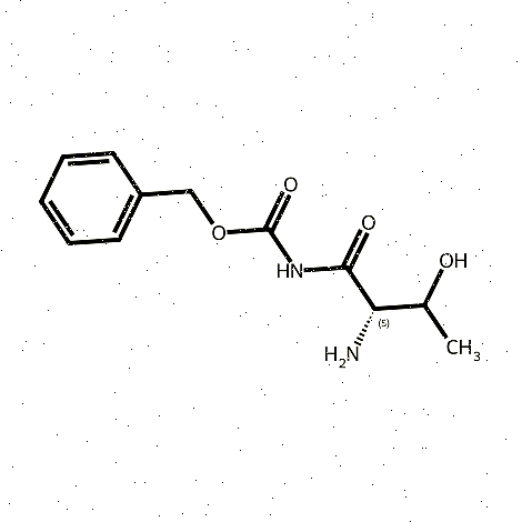 CC(O)[C@H](N)C(=O)NC(=O)OCc1ccccc1